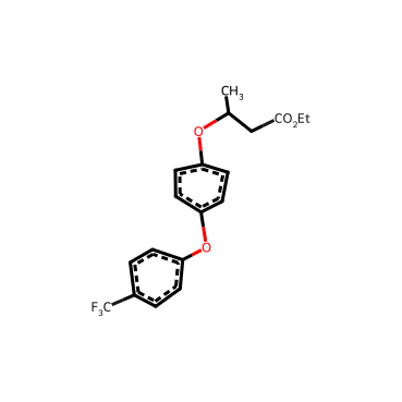 CCOC(=O)CC(C)Oc1ccc(Oc2ccc(C(F)(F)F)cc2)cc1